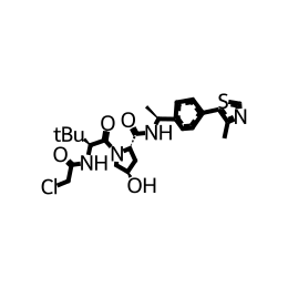 Cc1ncsc1-c1ccc([C@H](C)NC(=O)[C@@H]2C[C@@H](O)CN2C(=O)[C@@H](NC(=O)CCl)C(C)(C)C)cc1